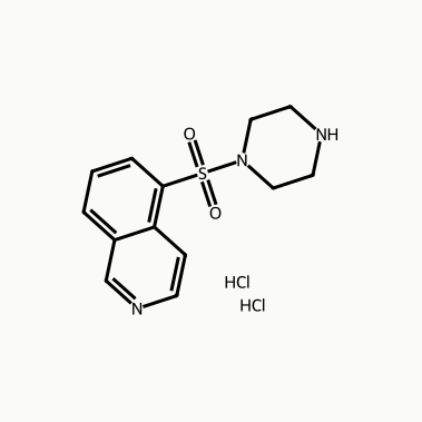 Cl.Cl.O=S(=O)(c1cccc2cnccc12)N1CCNCC1